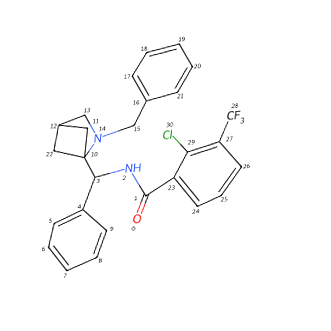 O=C(NC(c1ccccc1)C12CC(CN1Cc1ccccc1)C2)c1cccc(C(F)(F)F)c1Cl